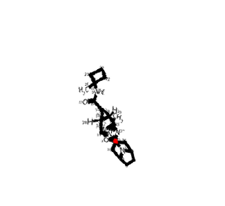 Cc1noc(N2C3CCC2CC(N2C[C@@H]4C(C(=O)NC5(C)CCC5)[C@@H]4C2)C3)n1